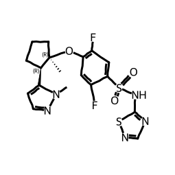 Cn1nccc1[C@H]1CCC[C@@]1(C)Oc1cc(F)c(S(=O)(=O)Nc2ncns2)cc1F